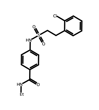 CCNC(=O)c1ccc(NS(=O)(=O)CCc2ccccc2Cl)cc1